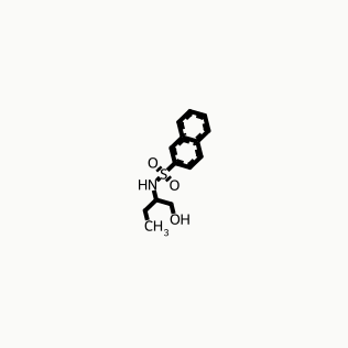 CCC(CO)NS(=O)(=O)c1ccc2ccccc2c1